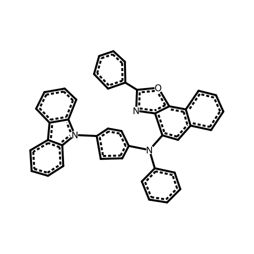 c1ccc(-c2nc3c(N(c4ccccc4)c4ccc(-n5c6ccccc6c6ccccc65)cc4)cc4ccccc4c3o2)cc1